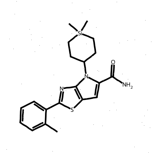 Cc1ccccc1-c1nc2c(cc(C(N)=O)n2C2CC[Si](C)(C)CC2)s1